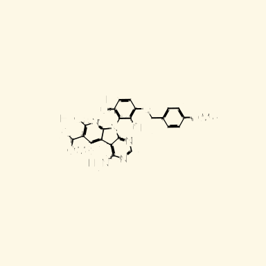 COc1ccc(COc2ccc(C)c(-n3c4nc(C)c(C(C)OC)cc4c4c(N)ncnc43)c2C)cc1